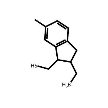 BCC1Cc2ccc(C)cc2C1CS